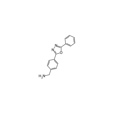 NCc1ccc(-c2nnc(-c3ccccc3)o2)cc1